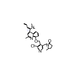 C=C/C=C(/c1cc(C)nc2c(OCc3c(Cl)cncc3CN3C(=O)CCC3C)cccc12)N(C)C